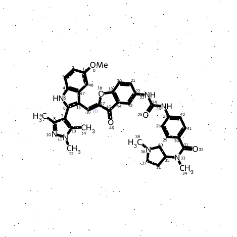 COc1ccc2[nH]c(-c3c(C)nn(C)c3C)c(/C=C3\Oc4ccc(NC(=O)Nc5ccc(C(=O)N(C)C6CCN(C)C6)cc5)cc4C3=O)c2c1